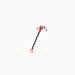 COC(=O)CCCCCCCCCCCCCCCC=O